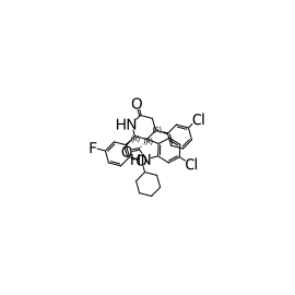 O=C1C[C@@H](c2cccc(Cl)c2)[C@]2(C(=O)Nc3cc(Cl)ccc32)[C@@H](c2cc(F)ccc2OC2CCCCC2)N1